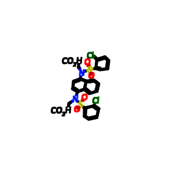 O=C(O)CN(c1ccc(N(CC(=O)O)S(=O)(=O)c2ccccc2Cl)c2ccccc12)S(=O)(=O)c1ccccc1Cl